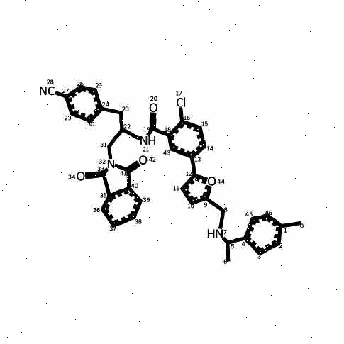 Cc1ccc(C(C)NCc2ccc(-c3ccc(Cl)c(C(=O)NC(Cc4ccc(C#N)cc4)CN4C(=O)c5ccccc5C4=O)c3)o2)cc1